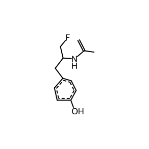 C=C(C)NC(CF)Cc1ccc(O)cc1